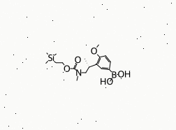 COc1ccc(B(O)O)cc1[C@@H](C)CN(C)C(=O)OCC[Si](C)(C)C